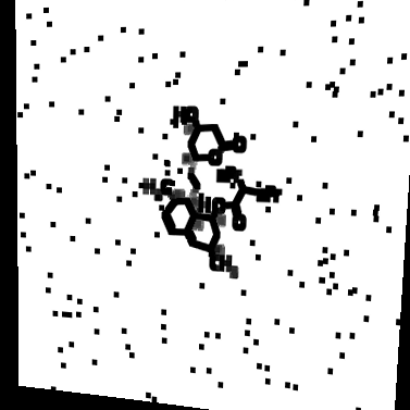 CCCC(CCC)C(=O)O[C@H]1C[C@@H](C)C=C2C=C[C@H](C)[C@H](CC[C@@H]3C[C@@H](O)CC(=O)O3)[C@H]21